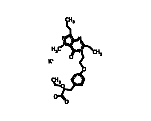 CCCc1nn(C)c2c(=O)n(CCOc3ccc(CC(OCC)C(=O)[O-])cc3)c(CC)nc12.[K+]